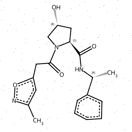 Cc1cc(CC(=O)N2C[C@H](O)C[C@H]2C(=O)N[C@H](C)c2ccccc2)on1